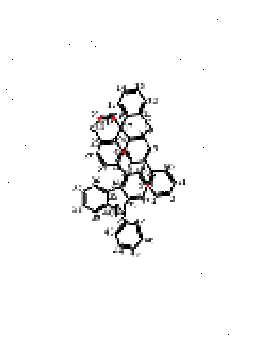 c1ccc(-c2ccc3c(c2)Sc2ccccc2C32c3ccccc3Sc3ccc(-c4cccc5c4c4ccccc4n5-c4ccccc4)cc32)cc1